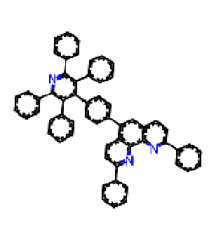 c1ccc(-c2ccc3cc(-c4ccc(-c5c(-c6ccccc6)c(-c6ccccc6)nc(-c6ccccc6)c5-c5ccccc5)cc4)c4ccc(-c5ccccc5)nc4c3n2)cc1